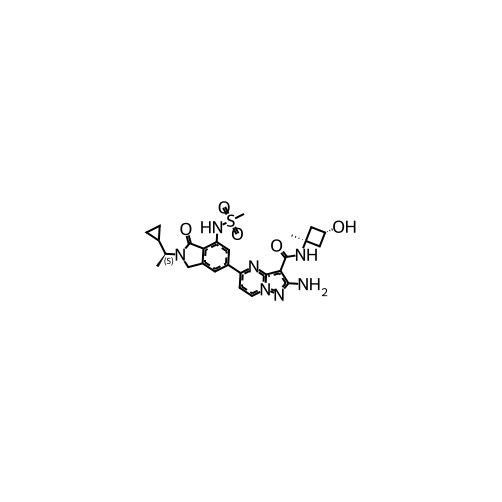 C[C@@H](C1CC1)N1Cc2cc(-c3ccn4nc(N)c(C(=O)N[C@]5(C)C[C@@H](O)C5)c4n3)cc(NS(C)(=O)=O)c2C1=O